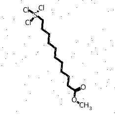 COC(=O)CCCCCCCCCCS(Cl)(Cl)Cl